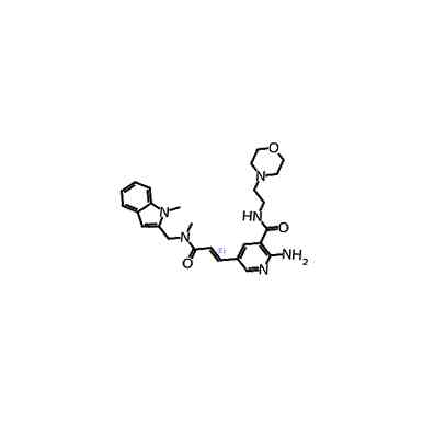 CN(Cc1cc2ccccc2n1C)C(=O)/C=C/c1cnc(N)c(C(=O)NCCN2CCOCC2)c1